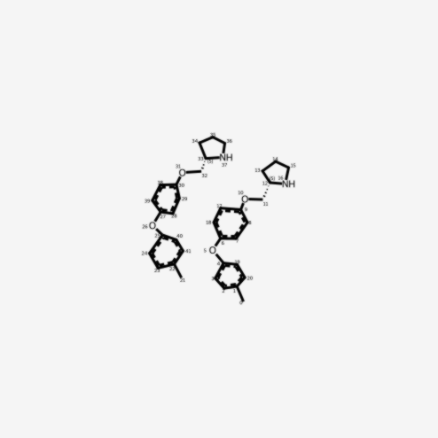 Cc1ccc(Oc2ccc(OC[C@@H]3CCCN3)cc2)cc1.Cc1ccc(Oc2ccc(OC[C@@H]3CCCN3)cc2)cc1